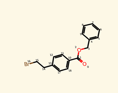 O=C(OCc1ccccc1)c1ccc(CCBr)cc1